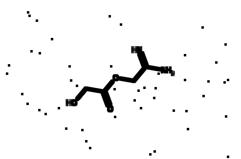 N=C(N)COC(=O)CO